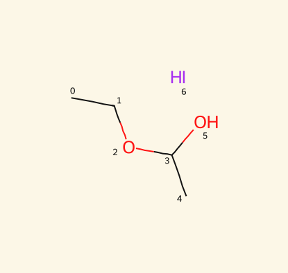 CCOC(C)O.I